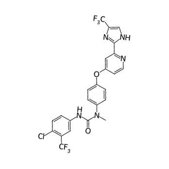 CN(C(=O)Nc1ccc(Cl)c(C(F)(F)F)c1)c1ccc(Oc2ccnc(-c3nc(C(F)(F)F)c[nH]3)c2)cc1